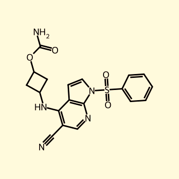 N#Cc1cnc2c(ccn2S(=O)(=O)c2ccccc2)c1NC1CC(OC(N)=O)C1